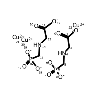 O=C([O-])CNCP(=O)([O-])[O-].O=C([O-])CNCP(=O)([O-])[O-].[Cu+2].[Cu+2].[Cu+2]